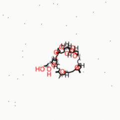 C=C1C[C@@H]2CC[C@@]34C[C@@H]5O[C@H]6[C@@H](O3)[C@H]3OC(CCC3O[C@H]6C5O4)CC(=O)C[C@@H]3[C@@H](C)[C@@H](C[C@H](O)CO)O[C@H]3CC3O[C@@H](CCC1O2)C[C@@H](C)C3=C